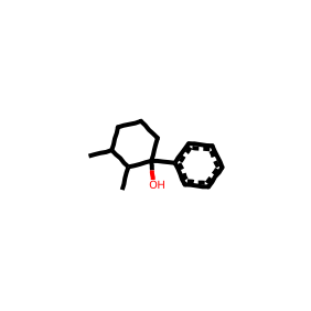 CC1CCCC(O)(c2ccccc2)C1C